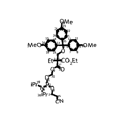 CCOC(=O)C(CC)(COC(c1ccc(OC)cc1)(c1ccc(OC)cc1)c1ccc(OC)cc1)C(=O)OCOP(OCCC#N)N(C(C)C)C(C)C